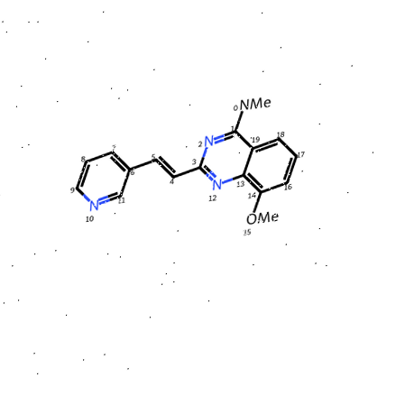 CNc1nc(/C=C/c2cccnc2)nc2c(OC)cccc12